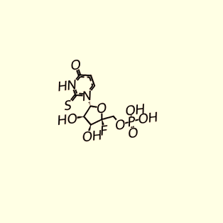 O=c1ccn([C@@H]2O[C@](F)(COP(=O)(O)O)[C@@H](O)[C@H]2O)c(=S)[nH]1